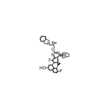 C#Cc1c(F)ccc2cc(O)cc(-c3c(F)cc4c(N5CC6CCC(C5)N6)nc(OCC5(CN6Cc7ccccc7C6)CC5)nc4c3F)c12